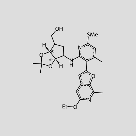 CCOc1cc2cc(-c3c(C)cc(SC)nc3NC3CC(CO)[C@H]4OC(C)(C)O[C@@H]34)oc2c(C)n1